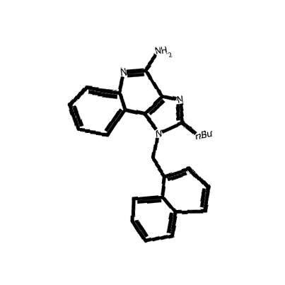 CCCCc1nc2c(N)nc3ccccc3c2n1Cc1cccc2ccccc12